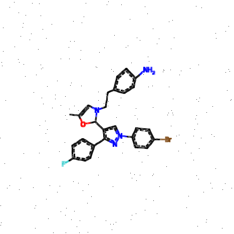 CC1=CN(CCc2ccc(N)cc2)C(c2cn(-c3ccc(Br)cc3)nc2-c2ccc(F)cc2)O1